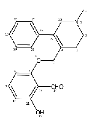 CN1CCC(COc2cccc(O)c2C=O)=C(c2ccccc2)C1